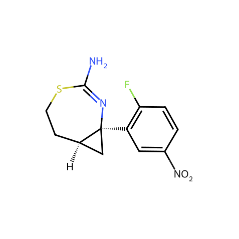 NC1=N[C@@]2(c3cc([N+](=O)[O-])ccc3F)C[C@H]2CCS1